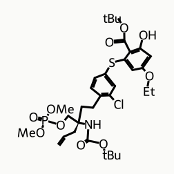 C=CC[C@](CCc1ccc(Sc2cc(OCC)cc(O)c2C(=O)OC(C)(C)C)cc1Cl)(COP(=O)(OC)OC)NC(=O)OC(C)(C)C